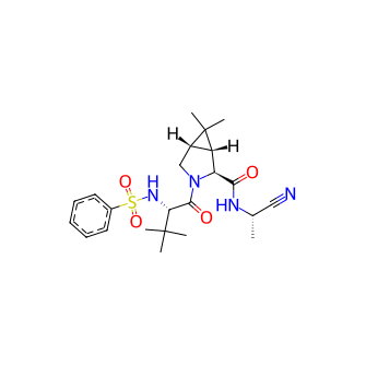 C[C@@H](C#N)NC(=O)[C@@H]1[C@@H]2[C@H](CN1C(=O)[C@@H](NS(=O)(=O)c1ccccc1)C(C)(C)C)C2(C)C